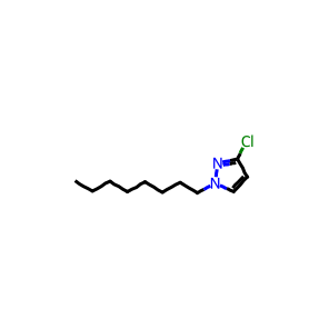 CCCCCCCCn1ccc(Cl)n1